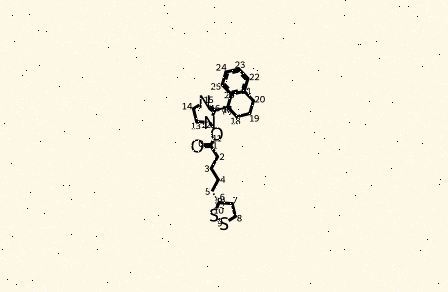 O=C(CCCC[C@@H]1CCSS1)ON1CCN=C1[C@@H]1CCCc2ccccc21